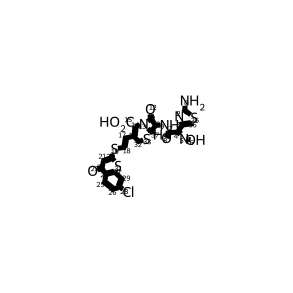 Nc1nc(/C(=N\O)C(=O)NC2C(=O)N3C(C(=O)O)=C(/C=C/Sc4cc(=O)c5ccc(Cl)cc5s4)CS[C@H]23)cs1